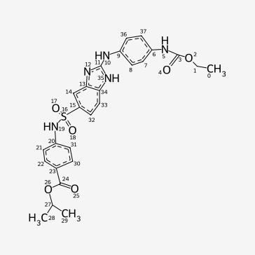 CCOC(=O)Nc1ccc(Nc2nc3cc(S(=O)(=O)Nc4ccc(C(=O)OC(C)C)cc4)ccc3[nH]2)cc1